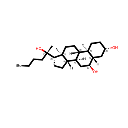 CCC(C)CCC[C@](C)(O)[C@H]1CC[C@H]2[C@@H]3C[C@H](O)[C@H]4C[C@@H](O)CC[C@]4(C)[C@H]3CC[C@@]21C